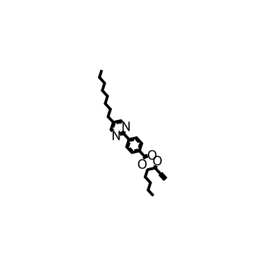 C#CC(=O)C(CCCC)OC(=O)c1ccc(-c2ncc(CCCCCCCC)cn2)cc1